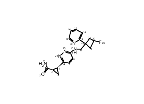 NC(=O)[C@@H]1C[C@@H]1c1ccc(NCC2(c3ccccn3)CC(F)C2)nn1